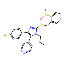 CCCn1c(SCc2ccccc2[S+](C)[O-])nc(-c2ccc(F)cc2)c1-c1ccncc1